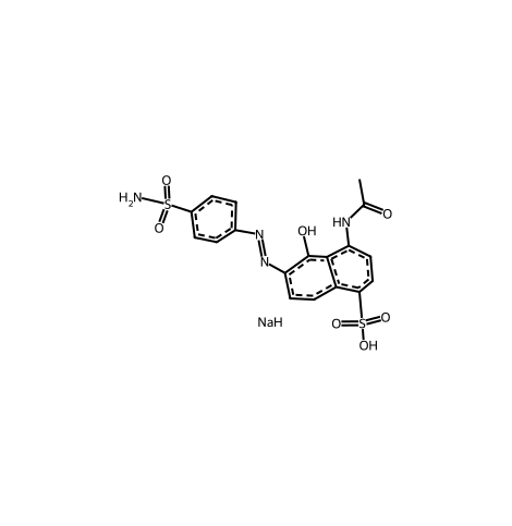 CC(=O)Nc1ccc(S(=O)(=O)O)c2ccc(N=Nc3ccc(S(N)(=O)=O)cc3)c(O)c12.[NaH]